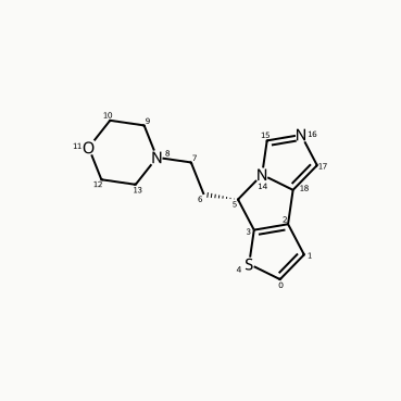 c1cc2c(s1)[C@H](CCN1CCOCC1)n1cncc1-2